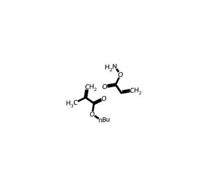 C=C(C)C(=O)OCCCC.C=CC(=O)ON